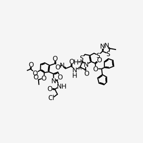 CC(=O)Oc1ccc(C(=O)ON=CC(=O)N[C@@H]2C(=O)N3C(C(=O)OC(c4ccccc4)c4ccccc4)=C(CSc4nnc(C)s4)CS[C@@H]23)c(-c2coc(NC(=O)CCl)n2)c1OC(C)=O